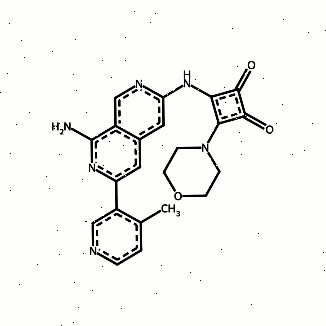 Cc1ccncc1-c1cc2cc(Nc3c(N4CCOCC4)c(=O)c3=O)ncc2c(N)n1